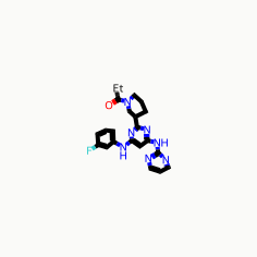 CCC(=O)N1CCCC(c2nc(Nc3cccc(F)c3)cc(Nc3ncccn3)n2)C1